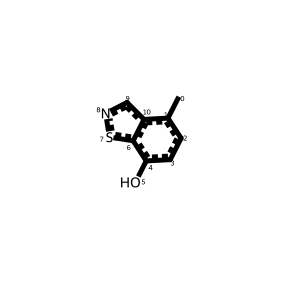 Cc1ccc(O)c2sncc12